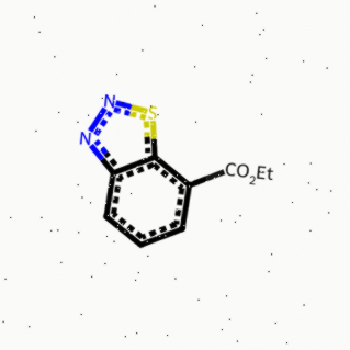 CCOC(=O)c1cccc2nnsc12